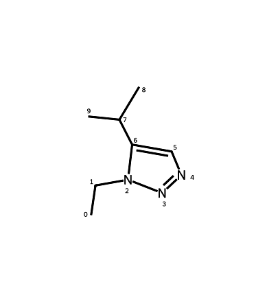 CCn1nncc1C(C)C